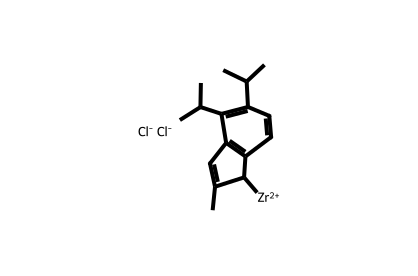 CC1=Cc2c(ccc(C(C)C)c2C(C)C)[CH]1[Zr+2].[Cl-].[Cl-]